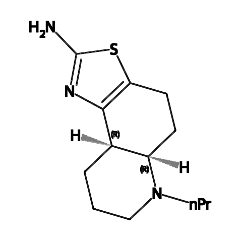 CCCN1CCC[C@H]2c3nc(N)sc3CC[C@H]21